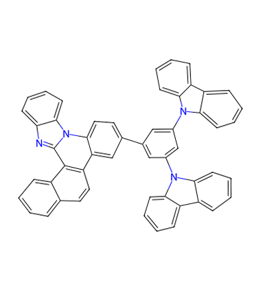 c1ccc2c(c1)ccc1c3cc(-c4cc(-n5c6ccccc6c6ccccc65)cc(-n5c6ccccc6c6ccccc65)c4)ccc3n3c4ccccc4nc3c21